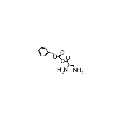 NCC(N)C(=O)OC(=O)OCc1ccccc1